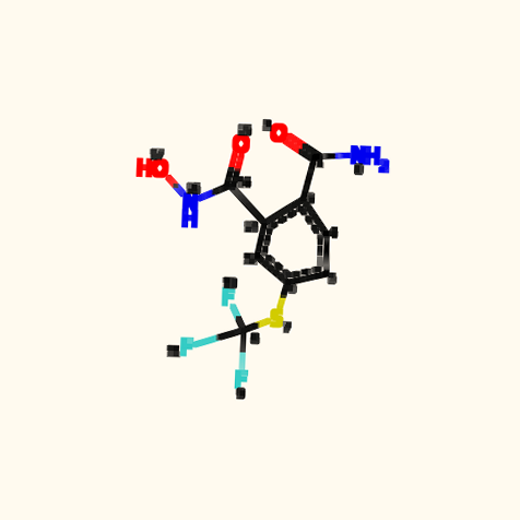 NC(=O)c1ccc(SC(F)(F)F)cc1C(=O)NO